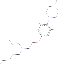 CCCCCN(CCC)CCOc1cc(F)c(N2CCN(C)CC2)c(F)c1